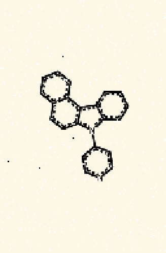 c1ccc2c(c1)ccc1c2c2ccccc2n1-c1ccncc1